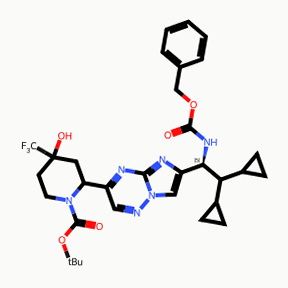 CC(C)(C)OC(=O)N1CCC(O)(C(F)(F)F)CC1c1cnn2cc([C@@H](NC(=O)OCc3ccccc3)C(C3CC3)C3CC3)nc2n1